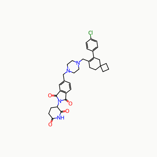 O=C1CCC(N2C(=O)c3ccc(CN4CCN(CC5=C(c6ccc(Cl)cc6)CC6(CCC6)CC5)CC4)cc3C2=O)C(=O)N1